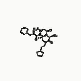 CCCC[C@H]1C(=O)N(CCc2cccs2)C[C@H]2N1C(=O)CN(C)N2C(=O)NCc1ccccc1